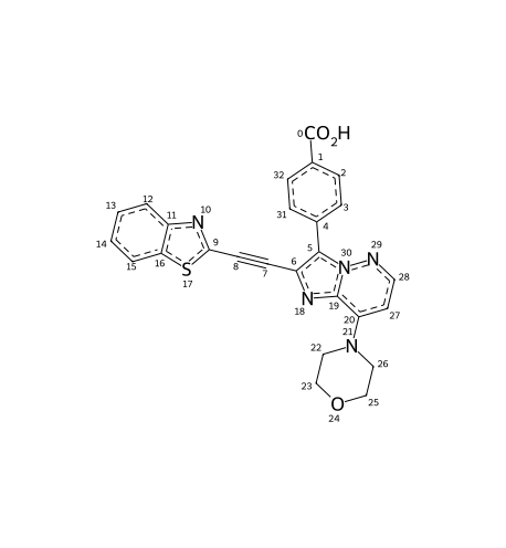 O=C(O)c1ccc(-c2c(C#Cc3nc4ccccc4s3)nc3c(N4CCOCC4)ccnn23)cc1